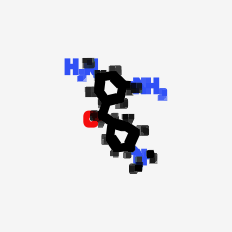 CN(C)c1ccc(C(=O)c2cc(N)cc(N)c2)cc1